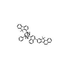 CC1(C)c2ccccc2-c2cccc(-c3cc(-c4ccccc4)nc(-c4ccc(-c5ccc6c(c5)C(C)(C)c5c-6ccc6ccccc56)c5ccccc45)n3)c21